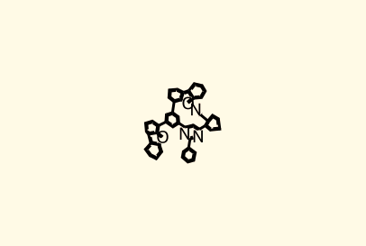 N#Cc1ccccc1-c1cc(-c2cc(-c3cccc4c3oc3ccccc34)cc(-c3cccc4c3oc3ccccc34)c2)nc(-c2ccccc2)n1